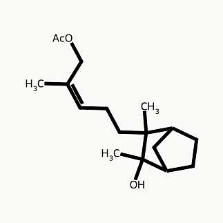 CC(=O)OC/C(C)=C\CCC1(C)C2CCC(C2)C1(C)O